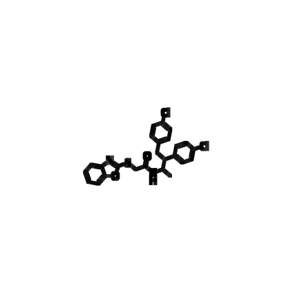 CC(NC(=O)CSc1nc2ccccc2o1)C(Cc1ccc(Cl)cc1)c1ccc(Cl)cc1